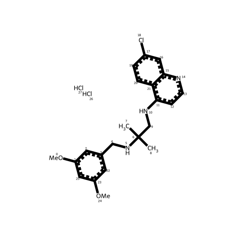 COc1cc(CNC(C)(C)CNc2ccnc3cc(Cl)ccc23)cc(OC)c1.Cl.Cl